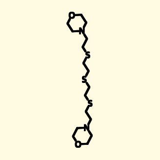 C1CN(CCSCCSCCSCCN2CCOCC2)CCO1